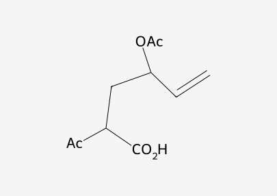 C=CC(CC(C(C)=O)C(=O)O)OC(C)=O